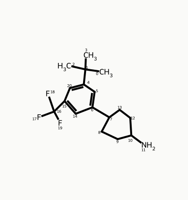 CC(C)(C)c1cc(C2CCC(N)CC2)cc(C(F)(F)F)c1